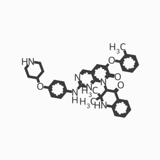 Cc1ccccc1Oc1cc2cnc(Nc3ccc(OC4CCNCC4)cc3)nc2n(C2C(=O)c3ccccc3NC2(C)C)c1=O